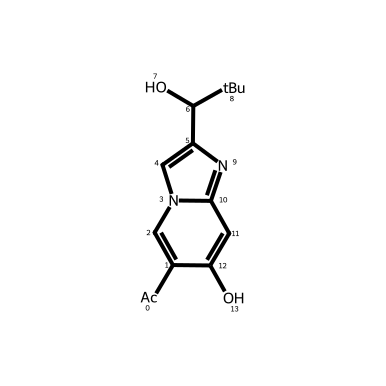 CC(=O)c1cn2cc(C(O)C(C)(C)C)nc2cc1O